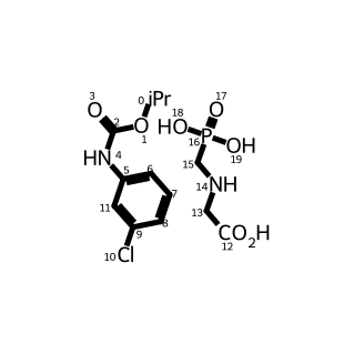 CC(C)OC(=O)Nc1cccc(Cl)c1.O=C(O)CNCP(=O)(O)O